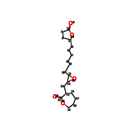 O=C1CCC(CCCCCCC2OC2CC2CCCCOC2=O)O1